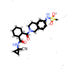 CS(=O)(=O)Nc1ccc2c(c1)CCN(C(=O)C1CCCCC1C(=O)NC1(C#N)CC1)C2